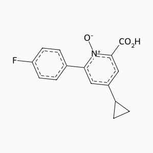 O=C(O)c1cc(C2CC2)cc(-c2ccc(F)cc2)[n+]1[O-]